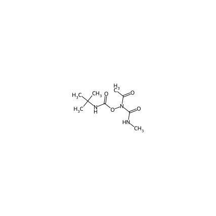 CNC(=O)N(OC(=O)NC(C)(C)C)C(C)=O